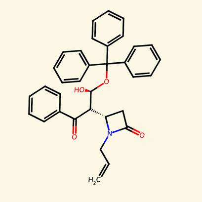 C=CCN1C(=O)C[C@H]1C(C(=O)c1ccccc1)[C@@H](O)OC(c1ccccc1)(c1ccccc1)c1ccccc1